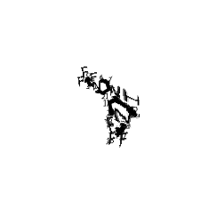 FC(F)(F)CN1CCC(NC2CCN(CC(F)(F)F)CC2)CC1